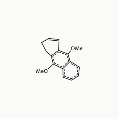 COc1c2c(c(OC)c3ccccc13)CCC=C2